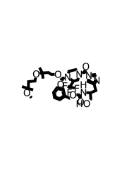 COC(C)(C)CCOC(C)(C)CCOC(=O)N1CCN(C(=O)n2cnc(CC(CO)NC(=O)OCc3ccccc3)c2)CC1C(F)(F)F